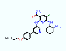 COCCOc1ccc(-c2cncc(Nc3nc(NC4CCCCC4N)c(F)cc3C(N)=O)c2)cc1